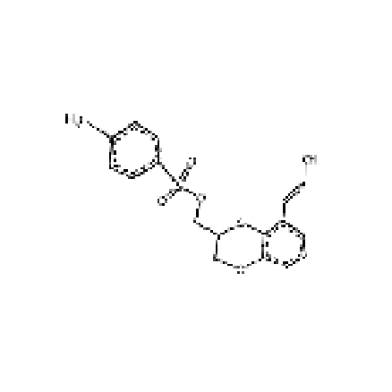 C/C=C/c1cccc2c1OC(COS(=O)(=O)c1ccc(C)cc1)CO2